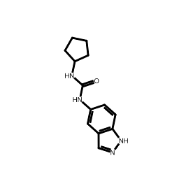 O=C(Nc1ccc2[nH]ncc2c1)NC1CCCC1